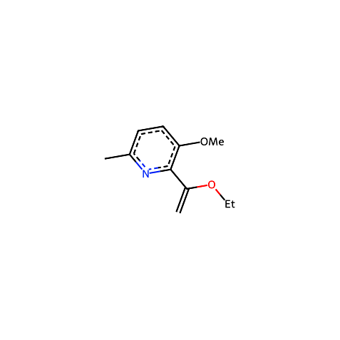 C=C(OCC)c1nc(C)ccc1OC